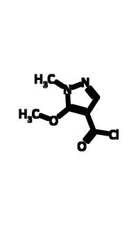 COc1c(C(=O)Cl)cnn1C